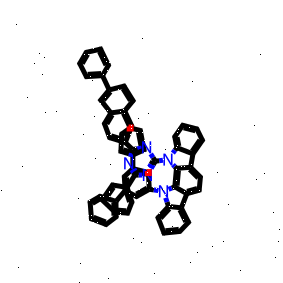 c1ccc(-c2cc(-c3ccccc3)cc(-n3c4ccccc4c4ccc5c6ccccc6n(-c6nc(-c7ccccc7)nc(-c7ccc8cc(-c9ccccc9)ccc8c7)n6)c5c43)c2)cc1